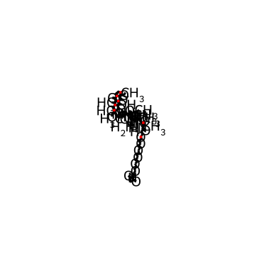 COc1cccc2c1C(=O)c1c(O)c3c(c(O)c1C2=O)C[C@@](O)(C(=N)CO)C[C@@H]3O[C@H]1C[C@H](NC(=O)C(CC(C)C)NC(=O)[C@@H](CC(N)=O)NC(=O)[C@@H](C)NC(=O)[C@@H](C)NC(=O)CCOCCOCCOCCOCCOCCOCCN2C(=O)C=CC2=O)[C@H](O)[C@H](C)O1